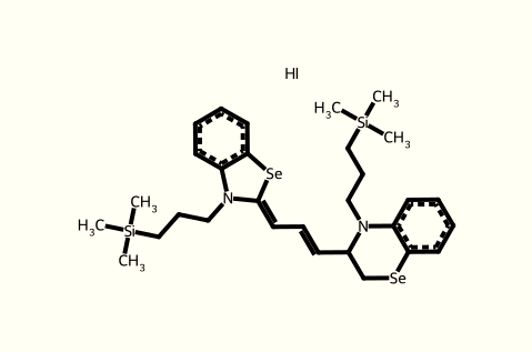 C[Si](C)(C)CCCN1C(=CC=CC2C[Se]c3ccccc3N2CCC[Si](C)(C)C)[Se]c2ccccc21.I